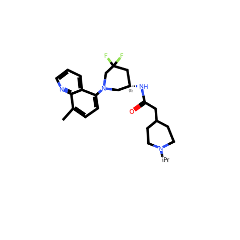 Cc1ccc(N2C[C@@H](NC(=O)CC3CCN(C(C)C)CC3)CC(F)(F)C2)c2cccnc12